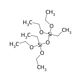 CCO[Si](CC)(OCC)O[Si](CC)(OCC)OCC